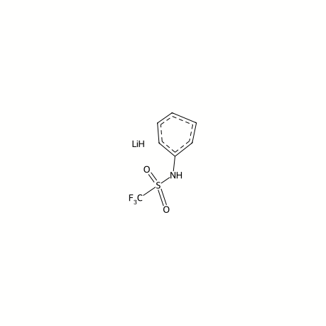 O=S(=O)(Nc1ccccc1)C(F)(F)F.[LiH]